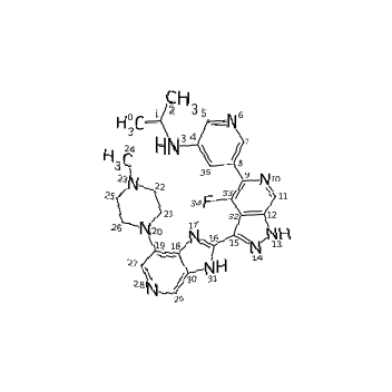 CC(C)Nc1cncc(-c2ncc3[nH]nc(-c4nc5c(N6CCN(C)CC6)cncc5[nH]4)c3c2F)c1